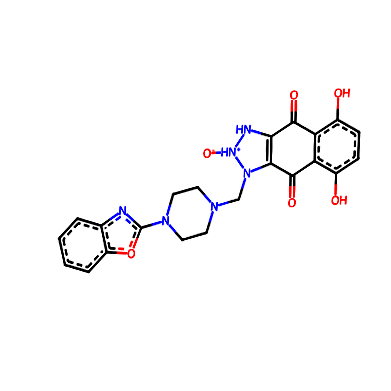 O=C1C2=C(C(=O)c3c(O)ccc(O)c31)N(CN1CCN(c3nc4ccccc4o3)CC1)[NH+]([O-])N2